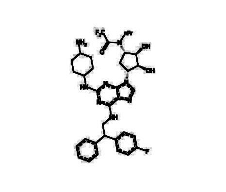 CCCN(C(=O)C(F)(F)F)[C@H]1C[C@@H](n2cnc3c(NCC(c4ccccc4)c4ccc(F)cc4)nc(NC4CCC(N)CC4)nc32)[C@H](O)[C@@H]1O